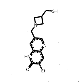 CCc1cc2ncc(CN3CC(CS)C3)cc2[nH]c1=O